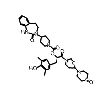 Cc1cc(C[C@@H](OC(=O)N2CCC(N3CCc4ccccc4NC3=O)CC2)C(=O)N2CCC(N3CC[S+]([O-])CC3)CC2)cc(C)c1O